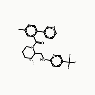 Cc1ccc(-c2cccnc2)c(C(=O)N2CCC[C@@H](C)C2CNc2ccc(C(F)(F)F)cn2)c1